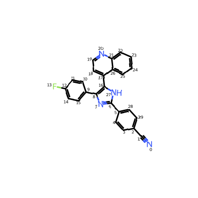 N#Cc1ccc(-c2nc(-c3ccc(F)cc3)c(-c3ccnc4ccccc34)[nH]2)cc1